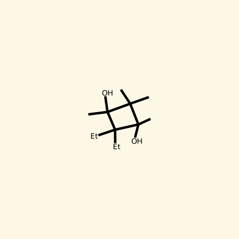 CCC1(CC)C(C)(O)C(C)(C)C1(C)O